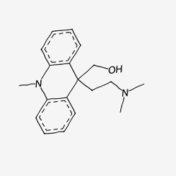 CN(C)CCC1(CO)c2ccccc2N(C)c2ccccc21